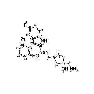 NCC1(O)CN[C@H](CNC(O)c2[nH]c3ccc(F)cc3c2-c2ccccc2Cl)C1